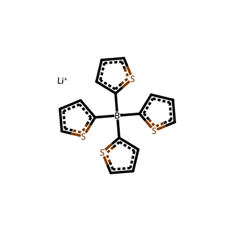 [Li+].c1csc([B-](c2cccs2)(c2cccs2)c2cccs2)c1